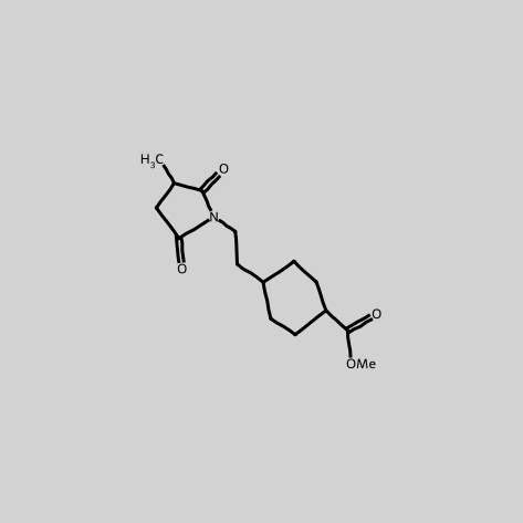 COC(=O)C1CCC(CCN2C(=O)CC(C)C2=O)CC1